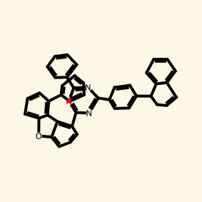 C1=Cc2ccccc2C(c2ccc(-c3nc(-c4ccccc4)nc(-c4cccc5oc6cccc(-c7ccccc7)c6c45)n3)cc2)C1